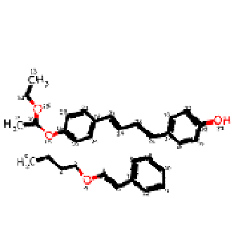 CCCCOC=Cc1ccccc1.CCOC(C)Oc1ccc(C=CC=Cc2ccc(O)cc2)cc1